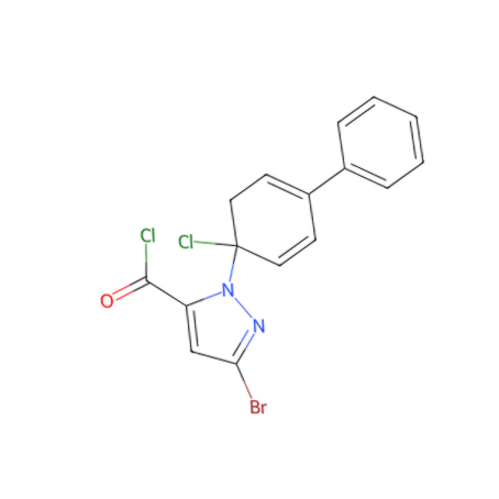 O=C(Cl)c1cc(Br)nn1C1(Cl)C=CC(c2ccccc2)=CC1